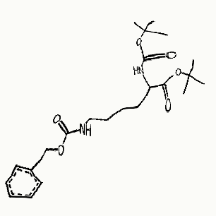 CC(C)(C)OC(=O)NC(CCCCNC(=O)OCc1ccccc1)C(=O)OC(C)(C)C